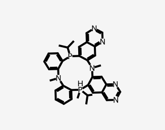 CC(C)P1c2ccccc2N(C)c2ccccc2[PH](C)(C(C)C)c2cc3cncnc3cc2N(C)c2cc3ncncc3cc21